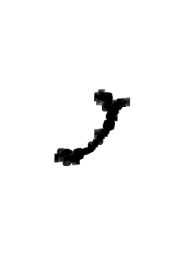 CC(C)(O)c1cc2nn([C@H]3CC[C@H](CNCCOCCOCC#Cc4ccn5c(N6CCC(=O)NC6=O)cnc5c4)CC3)cc2cc1NC(=O)c1cccc(C(F)(F)F)n1